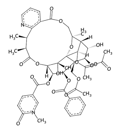 CC(=O)OC[C@]12[C@H](OC(C)=O)[C@@H](O)[C@@H]3[C@@H](OC(C)=O)[C@@]14O[C@@]3(C)COC(=O)c1cccnc1[C@H](C)[C@H](C)C(=O)O[C@@H]([C@H](OC(=O)c1ccc(=O)n(C)c1)[C@@H]2OC(=O)c1ccccc1)[C@@]4(C)O